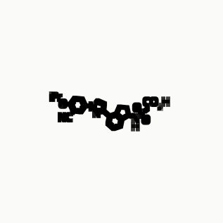 CC(C)Oc1ccc(-n2ccc(-c3cccc4c3CCC4NS(=O)(=O)CC(=O)O)n2)cc1C#N